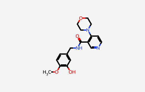 COc1ccc(CNC(=O)c2cnccc2N2CCOCC2)cc1O